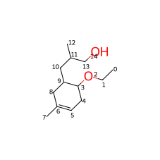 CCOC1CC=C(C)CC1CC(C)CO